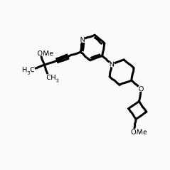 COC1CC(OC2CCN(c3ccnc(C#CC(C)(C)OC)c3)CC2)C1